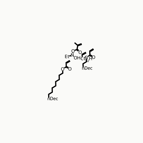 C=C(C)C(=O)ON(O)CC.C=CC(=O)O.C=CC(=O)OCCCCCCCCCCCC.C=CC(=O)OCCCCCCCCCCCCCCCCCC